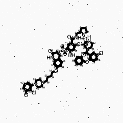 CCN1CCCC1CNC(=O)c1cc(S(=O)(=O)CC)c(N)cc1OC.Clc1ccc2c(c1)C(N1CCNCC1)=Nc1ccccc1O2.O=C1CCc2ccc(OCCCCN3CCN(c4cccc(Cl)c4Cl)CC3)cc2N1